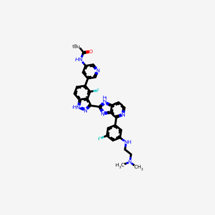 CN(C)CCNc1cc(F)cc(-c2nccc3[nH]c(-c4n[nH]c5ccc(-c6cncc(NC(=O)C(C)(C)C)c6)c(F)c45)nc23)c1